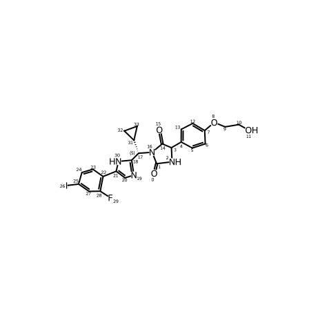 O=C1NC(c2ccc(OCCO)cc2)C(=O)N1[C@H](c1ncc(-c2ccc(I)cc2F)[nH]1)C1CC1